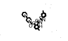 Cc1ccc(OC(=O)N2CCC(N3CCCCC3)CC2)c(C(=O)Nc2nc3ccc(C)cc3s2)c1